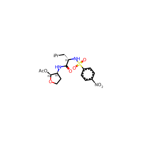 CC(=O)O[C@@H]1OCC[C@@H]1NC(=O)[C@H](CC(C)C)NS(=O)(=O)c1ccc([N+](=O)[O-])cc1